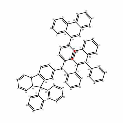 C1=CC2c3ccc(N(c4ccc(-c5cc6ccccc6c6ccccc56)cc4)c4ccccc4-c4ccc5ccccc5c4-c4ccccc4)cc3C(c3ccccc3)(c3ccccc3)C2C=C1